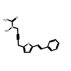 NC(=O)N(O)CC#CCc1ccc(C=Cc2ccccc2)o1